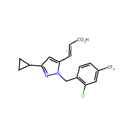 O=C(O)/C=C/c1cc(C2CC2)nn1Cc1ccc(C(F)(F)F)cc1Cl